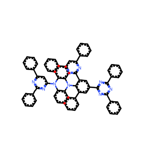 c1ccc(-c2cc(N3c4ccccc4N(c4c(-c5ccccc5)cc(-c5nc(-c6ccccc6)nc(-c6ccccc6)n5)cc4-c4nc(-c5ccccc5)cc(-c5ccccc5)n4)c4ccccc43)nc(-c3ccccc3)n2)cc1